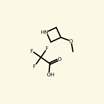 COC1CNC1.O=C(O)C(F)(F)F